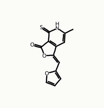 Cc1cc2c(c(=S)[nH]1)C(=O)O/C2=C\c1ccco1